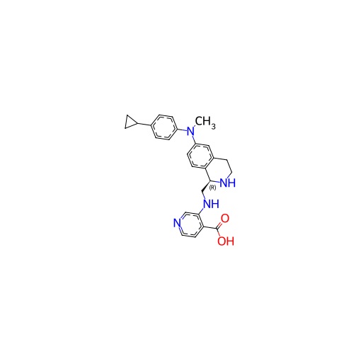 CN(c1ccc(C2CC2)cc1)c1ccc2c(c1)CCN[C@H]2CNc1cnccc1C(=O)O